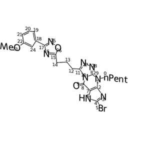 CCCCCn1c2nc(Br)[nH]c2c(=O)n2c(CCCc3nc(-c4cccc(OC)c4)no3)nnc12